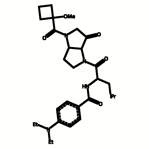 CCN(CC)c1ccc(C(=O)NC(CC(C)C)C(=O)N2CCC3C2C(=O)CN3C(=O)C2(OC)CCC2)cc1